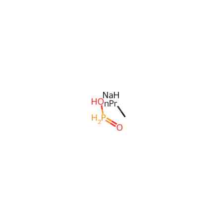 CCCC.O=[PH2]O.[NaH]